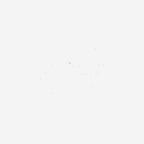 CCn1c(-c2cccnc2COC)c2c3cc(ccc31)-c1cc(O)cc(c1)C[C@H](NC(=O)C(C(C)C)N(C)C(=O)[C@H](N)CCCN)C(=O)N1CCC[C@H](N1)C(=O)OCC(C)(C)C2